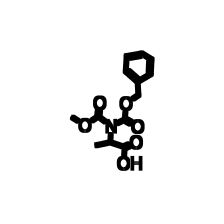 COC(=O)N(C(=O)OCc1ccccc1)C(C)C(=O)O